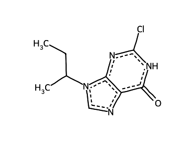 CCC(C)n1cnc2c(=O)[nH]c(Cl)nc21